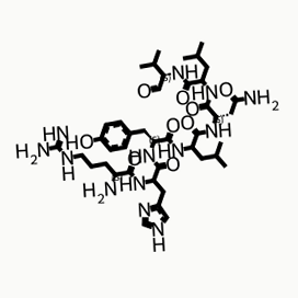 CC(C)CC(NC(=O)[C@H](Cc1ccc(O)cc1)NC(=O)C(Cc1c[nH]cn1)NC(=O)[C@@H](N)CCCNC(=N)N)C(=O)N[C@@H](CC(N)=O)C(=O)NC(CC(C)C)C(=O)N[C@H](C=O)C(C)C